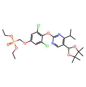 CCOP(=O)(COc1cc(Cl)c(Oc2ncc(B3OC(C)(C)C(C)(C)O3)c(C(C)C)n2)c(Cl)c1)OCC